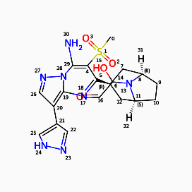 CS(=O)(=O)c1c([C@H]2C[C@H]3CC[C@@H](C2)N3C(O)C=O)nc2c(-c3cn[nH]c3)cnn2c1N